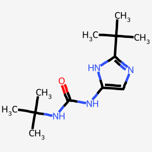 CC(C)(C)NC(=O)Nc1cnc(C(C)(C)C)[nH]1